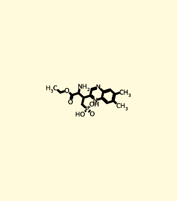 CCOC(=O)C(N)C(CP(=O)(O)O)c1cnc2cc(C)c(C)cc2n1